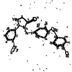 O=C1CNC(c2cccc(C(F)(F)F)c2)N1Cc1ccc(Oc2ccc(Cl)cc2)cc1